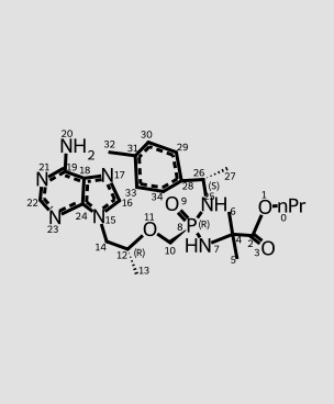 CCCOC(=O)C(C)(C)N[P@@](=O)(CO[C@H](C)Cn1cnc2c(N)ncnc21)N[C@@H](C)c1ccc(C)cc1